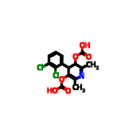 CC1=NC(C)=C(OC(=O)O)C(c2cccc(Cl)c2Cl)C1OC(=O)O